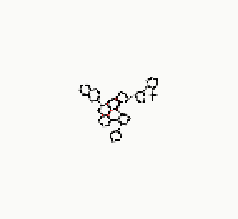 CC1(C)c2ccccc2-c2cc(-c3cccc(N(c4cccc(-c5ccc6ccccc6c5)c4)c4cccc(-c5ccccc5)c4-c4ccccc4-c4ccccc4)c3)ccc21